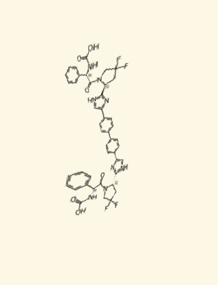 O=C(O)N[C@@H](C(=O)N1CC(F)(F)C[C@H]1c1nc(-c2ccc(-c3ccc(-c4c[nH]c([C@@H]5CC(F)(F)CN5C(=O)[C@H](NC(=O)O)c5ccccc5)n4)cc3)cc2)c[nH]1)c1ccccc1